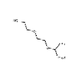 CCCCCCCC(CCCC)OCCOCCO